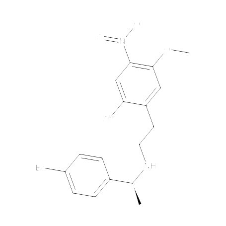 COc1cc(CCN[C@@H](C)c2ccc(Br)cc2)c(Cl)cc1[N+](=O)[O-]